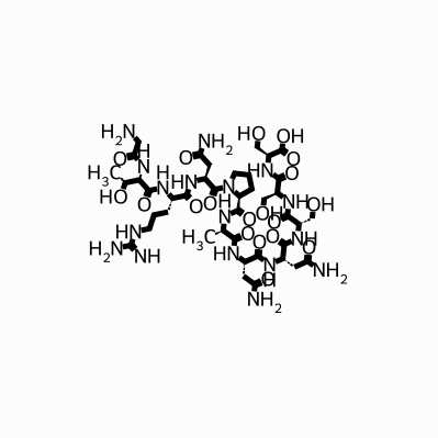 C[C@H](NC(=O)[C@@H]1CCCN1C(=O)[C@H](CC(N)=O)NC(=O)[C@H](CCCNC(=N)N)NC(=O)[C@@H](NC(=O)CN)[C@@H](C)O)C(=O)N[C@@H](CC(N)=O)C(=O)N[C@@H](CC(N)=O)C(=O)N[C@@H](CO)C(=O)N[C@@H](CO)C(=O)N[C@@H](CO)C(=O)O